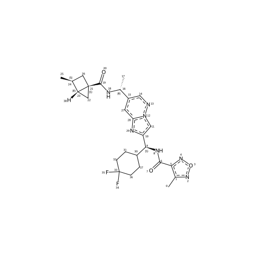 Cc1nonc1C(=O)N[C@H](c1cn2ncc([C@@H](C)NC(=O)[C@@]34C[C@@H]3[C@@H](C)C4)cc2n1)C1CCC(F)(F)CC1